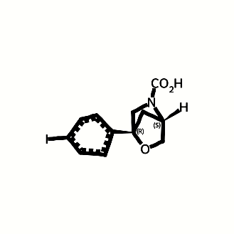 O=C(O)N1C[C@]2(c3ccc(I)cc3)C[C@H]1CO2